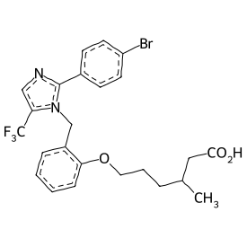 CC(CCCOc1ccccc1Cn1c(C(F)(F)F)cnc1-c1ccc(Br)cc1)CC(=O)O